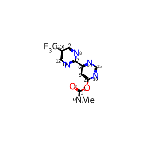 CNC(=O)Oc1cc(-c2ncc(C(F)(F)F)cn2)ncn1